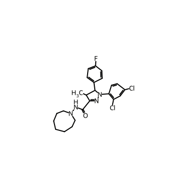 CC1C(C(=O)NN2CCCCCCC2)=NN(c2ccc(Cl)cc2Cl)C1c1ccc(F)cc1